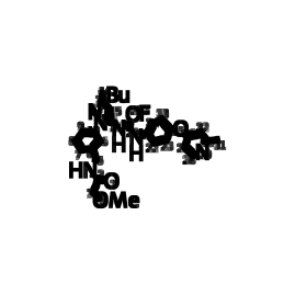 COCC(=O)NCc1cccc(-n2nc(C(C)(C)C)cc2NC(=O)Nc2ccc(Oc3ccnc(C)c3)cc2F)c1